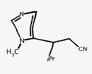 CC(C)C(CC#N)c1cncn1C